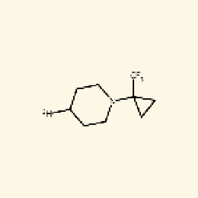 [2H]C1CCN(C2(C(F)(F)F)CC2)CC1